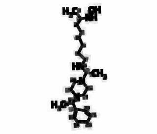 CC(CCCCCCNC(C)N1CCN(C(C)c2ccccc2)CC1)NO